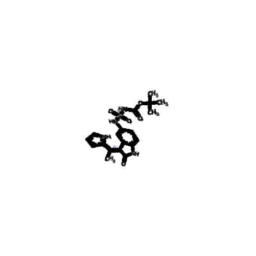 C/C(=C1\C(=O)Nc2ccc(NS(=O)(=O)NC(=O)OC(C)(C)C)cc21)c1ccc[nH]1